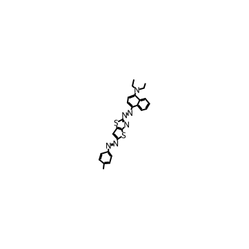 CCN(CC)c1ccc(N=Nc2nc3sc(N=Nc4ccc(C)cc4)cc3s2)c2ccccc12